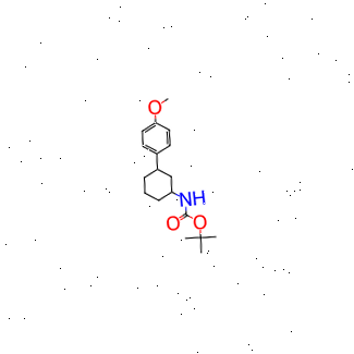 COc1ccc(C2CCCC(NC(=O)OC(C)(C)C)C2)cc1